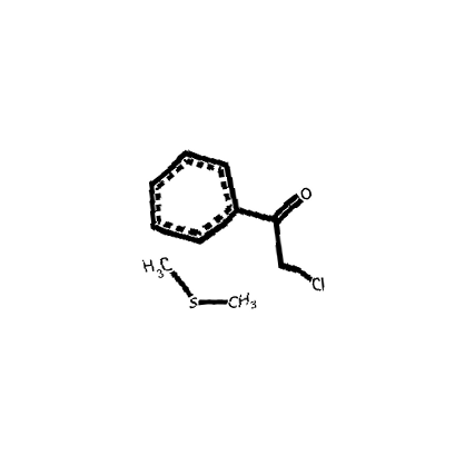 CSC.O=C(CCl)c1ccccc1